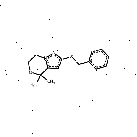 CC1(C)OCCn2nc(SCc3ccccc3)cc21